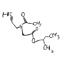 C#CCN(CC(=O)OC(C)CC)C(C)=O